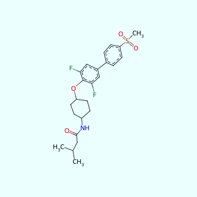 CC(C)CC(=O)NC1CCC(Oc2c(F)cc(-c3ccc(S(C)(=O)=O)cc3)cc2F)CC1